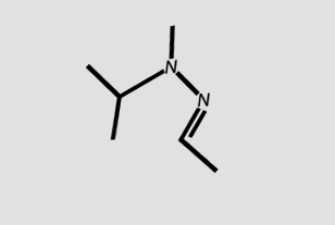 C/C=N/N(C)C(C)C